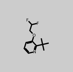 CC(C)(C)c1ncccc1OCC(F)F